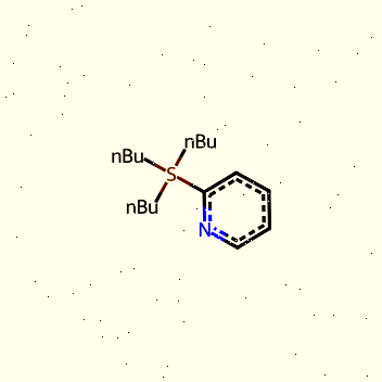 CCCCS(CCCC)(CCCC)c1ccccn1